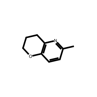 Cc1ccc2c(n1)CCCO2